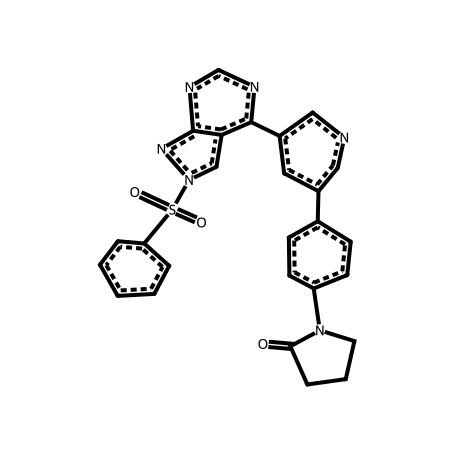 O=C1CCCN1c1ccc(-c2cncc(-c3ncnc4nn(S(=O)(=O)c5ccccc5)cc34)c2)cc1